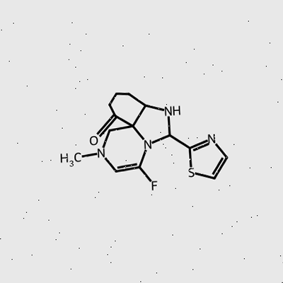 CN1C=C(F)N2C(c3nccs3)NC3CCCC(=O)C32C1